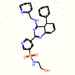 O=S(=O)(NCCO)c1cncc(C2=NC3=CC=CC(c4ccccc4)C3C(NCc3ccccn3)=N2)c1